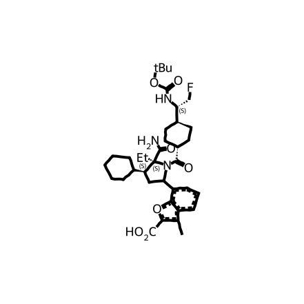 CC[C@@]1(C(N)=O)[C@H](C2CCCCC2)CC(c2cccc3c(C)c(C(=O)O)oc23)N1C(=O)[C@H]1CC[C@H]([C@@H](CF)NC(=O)OC(C)(C)C)CC1